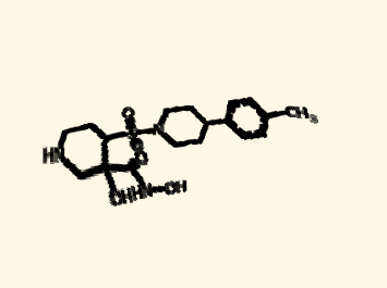 Cc1ccc(C2CCN(S(=O)(=O)C3CCNCC3(O)C(=O)NO)CC2)cc1